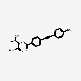 COC(=O)[C@@H](NC(=O)c1ccc(C#Cc2ccc([N+](=O)[O-])cc2)cc1)[C@@H](C)O